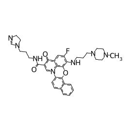 CN1CCN(CCCNc2c(F)cc3c(=O)c(C(=O)NCCCN4C=NCC4)cn4c3c2Oc2c-4ccc3ccccc23)CC1